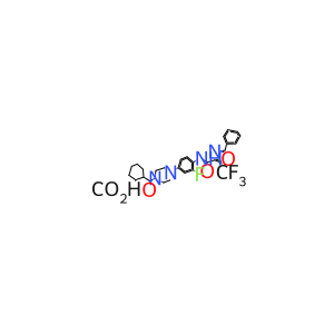 O=C(Nc1ccc(N2CCN(C(=O)C3CCCCC3C(=O)O)CC2)cc1F)c1nc(-c2ccccc2)oc1C(F)(F)F